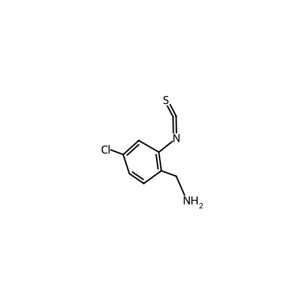 NCc1ccc(Cl)cc1N=C=S